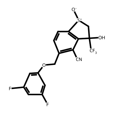 N#Cc1c(COc2cc(F)cc(F)c2)ccc2c1C(O)(C(F)(F)F)C[S+]2[O-]